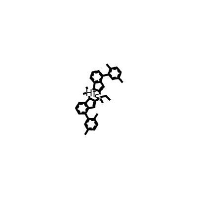 CC[Si]1(C)C2=Cc3c(-c4cc(C)ccc4C)cccc3[CH]2[Hf]([CH3])([CH3])[CH]2C1=Cc1c(-c3cc(C)ccc3C)cccc12